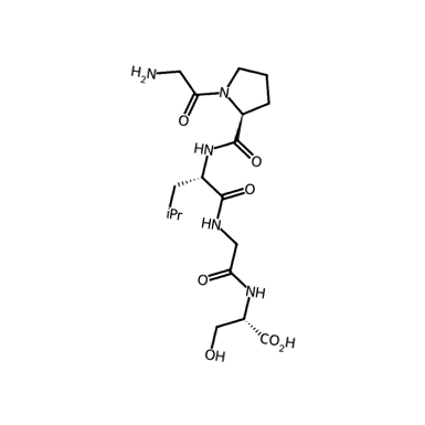 CC(C)C[C@H](NC(=O)[C@@H]1CCCN1C(=O)CN)C(=O)NCC(=O)N[C@@H](CO)C(=O)O